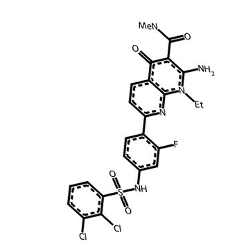 CCn1c(N)c(C(=O)NC)c(=O)c2ccc(-c3ccc(NS(=O)(=O)c4cccc(Cl)c4Cl)cc3F)nc21